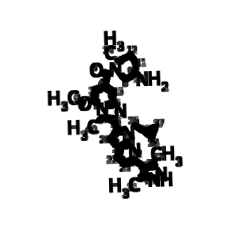 COc1cc(C(=O)N2C[C@H](N)CC[C@@H]2C)cc2nc(-c3cc4ccc(-c5c(C)n[nH]c5C)nc4n3CC3CC3)c(C)n12